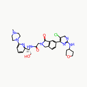 CN1CCN(c2cccc([C@@H](CO)NC(=O)CN3Cc4ccc(-c5nc(NC6CCOCC6)ncc5Cl)cc4C3=O)n2)CC1